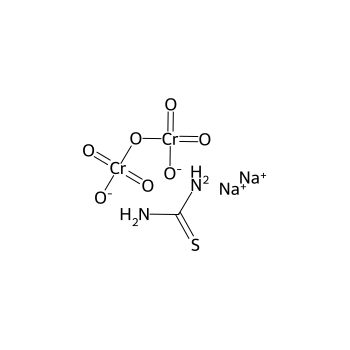 NC(N)=S.[Na+].[Na+].[O]=[Cr](=[O])([O-])[O][Cr](=[O])(=[O])[O-]